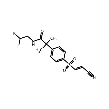 CC(C)(C(=O)NCC(F)F)c1ccc(S(=O)(=O)C=CC#N)cc1